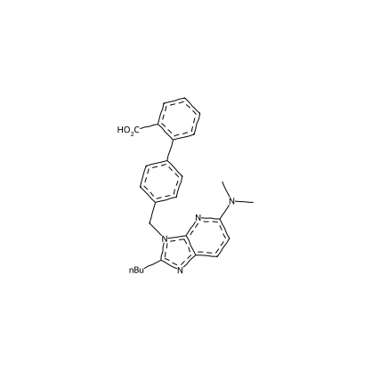 CCCCc1nc2ccc(N(C)C)nc2n1Cc1ccc(-c2ccccc2C(=O)O)cc1